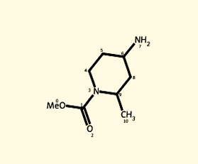 COC(=O)N1CCC(N)CC1C